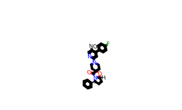 O=C1N2[C@@H](CC[C@H]2c2ccccc2)OC12CCN(c1cc(-c3ccc(F)cc3)c([N+](=O)[O-])cn1)CC2